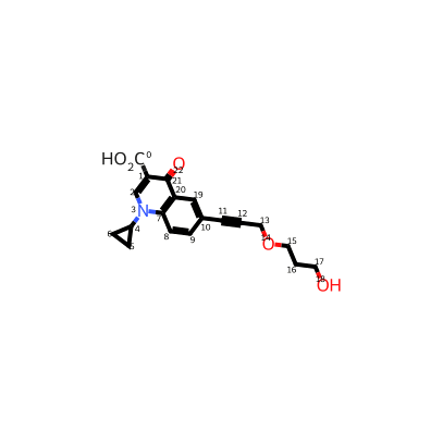 O=C(O)c1cn(C2CC2)c2ccc(C#CCOCCCO)cc2c1=O